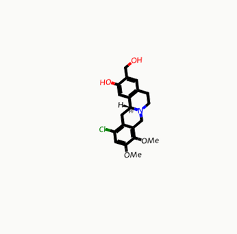 COc1cc(Cl)c2c(c1OC)CN1CCc3cc(CO)c(O)cc3[C@H]1C2